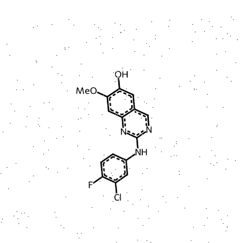 COc1cc2nc(Nc3ccc(F)c(Cl)c3)ncc2cc1O